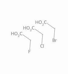 O=C(O)CBr.O=C(O)CCl.O=C(O)CF